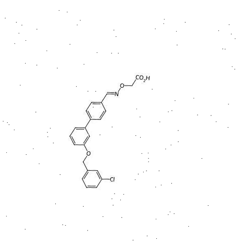 O=C(O)CON=Cc1ccc(-c2cccc(OCc3cccc(Cl)c3)c2)cc1